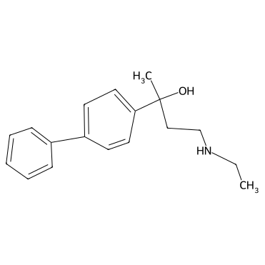 CCNCCC(C)(O)c1ccc(-c2ccccc2)cc1